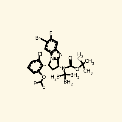 BC(B)(B)N(C(=O)OC(C)(C)C)[C@@H]1C[C@H](c2c(Cl)cccc2OC(F)F)n2c1nc1cc(F)c(Br)cc12